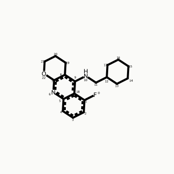 Fc1cccc2nc3c(c(NCC4CCCCC4)c12)CCCO3